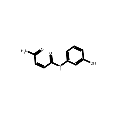 NC(=O)/C=C\C(=O)Nc1cccc(O)c1